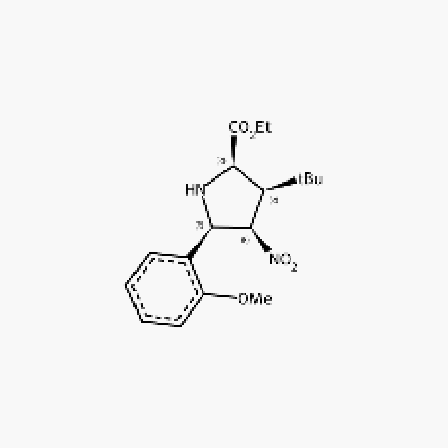 CCOC(=O)[C@@H]1N[C@H](c2ccccc2OC)[C@H]([N+](=O)[O-])[C@@H]1C(C)(C)C